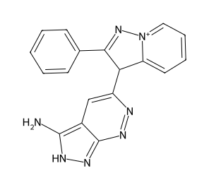 Nc1[nH]nc2nnc(C3C(c4ccccc4)=N[n+]4ccccc43)cc12